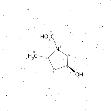 C[C@H]1C[C@H](O)CN1C(=O)O